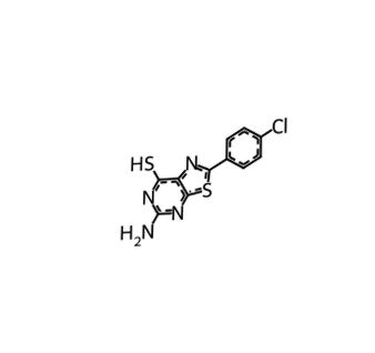 Nc1nc(S)c2nc(-c3ccc(Cl)cc3)sc2n1